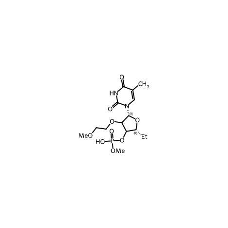 CC[C@H]1O[C@@H](n2cc(C)c(=O)[nH]c2=O)C(OCCOC)C1OP(=O)(O)OC